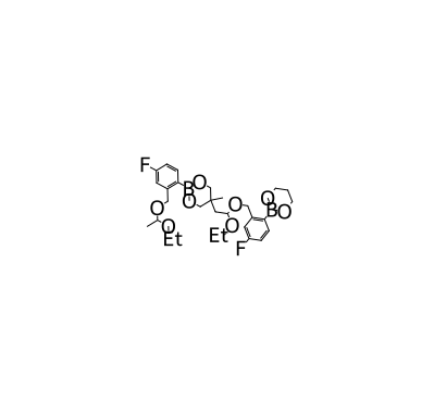 CCOC(C)OCc1cc(F)ccc1B1OCC(C)(CC(OCC)OCc2cc(F)ccc2B2OCCCO2)CO1